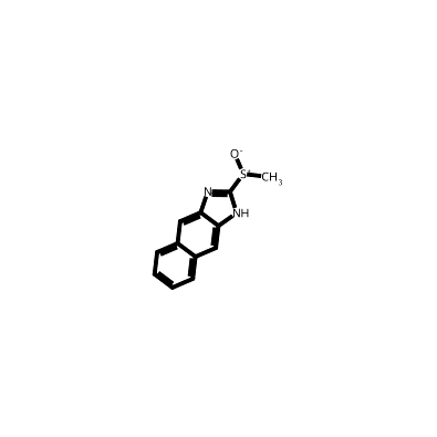 C[S+]([O-])c1nc2cc3ccccc3cc2[nH]1